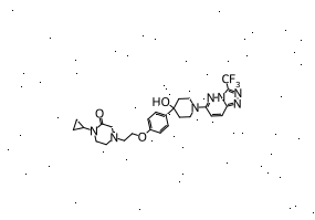 O=C1CN(CCOc2ccc(C3(O)CCN(c4ccc5nnc(C(F)(F)F)n5n4)CC3)cc2)CCN1C1CC1